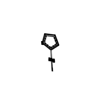 [I][Mg][c]1cccs1